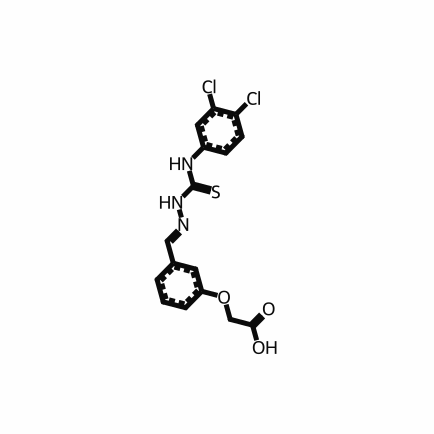 O=C(O)COc1cccc(C=NNC(=S)Nc2ccc(Cl)c(Cl)c2)c1